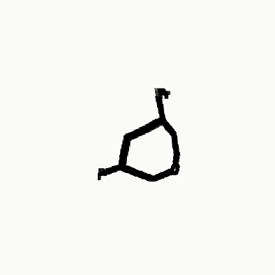 CC(C)C1COC[C](F)C1